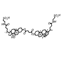 C[C@H](CCC(=O)NCCS(=O)(=O)O)[C@H]1CC[C@H]2[C@@H]3[C@@H](O)CC4C[C@H](OC(=O)CCC(=O)O[C@@H]5CC[C@@]6(C)C(CCC7([NH+](C)[O-])[C@@H]8CC[C@H]([C@H](C)CCC(=O)NCCS(=O)(=O)O)[C@@]8(C)CC[C@@H]76)C5)CC[C@]4(C)[C@H]3CC[C@]12C